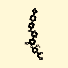 N#Cc1cc(-c2ncnc(Nc3ccc(N4CCN(C5COC5)CC4)cc3)n2)ccc1O[C@@H]1CCN(C(=O)CO)C[C@H]1C(F)(F)F